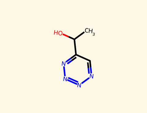 CC(O)c1cnnnn1